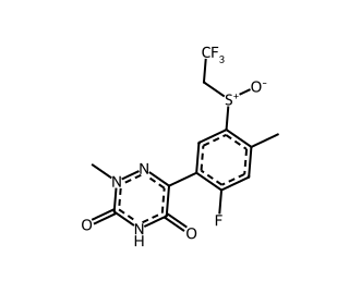 Cc1cc(F)c(-c2nn(C)c(=O)[nH]c2=O)cc1[S+]([O-])CC(F)(F)F